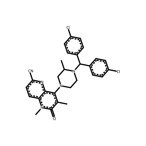 Cc1c(N2CCN(C(c3ccc(Cl)cc3)c3ccc(Cl)cc3)C(C)C2)c2nc(C#N)ccc2n(C)c1=O